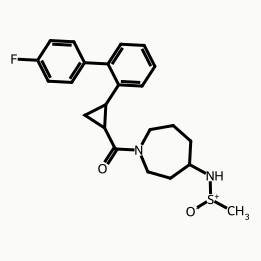 C[S+]([O-])NC1CCCN(C(=O)C2CC2c2ccccc2-c2ccc(F)cc2)CC1